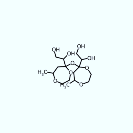 CC1CC(OC2(C(O)CO)CC(C)OCCO2)(C(O)CO)OCCO1